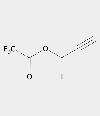 C#CC(I)OC(=O)C(F)(F)F